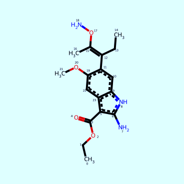 CCOC(=O)c1c(N)[nH]c2cc(/C(CC)=C(\C)ON)c(OC)cc12